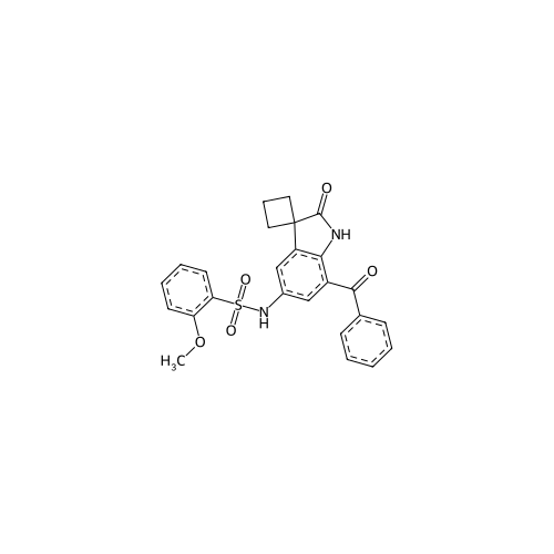 COc1ccccc1S(=O)(=O)Nc1cc(C(=O)c2ccccc2)c2c(c1)C1(CCC1)C(=O)N2